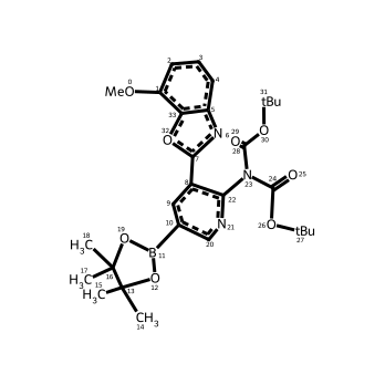 COc1cccc2nc(-c3cc(B4OC(C)(C)C(C)(C)O4)cnc3N(C(=O)OC(C)(C)C)C(=O)OC(C)(C)C)oc12